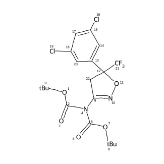 CC(C)(C)OC(=O)N(C(=O)OC(C)(C)C)C1=NOC(c2cc(Cl)cc(Cl)c2)(C(F)(F)F)C1